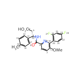 COc1ccc(C(=O)N[C@@H](CC(=O)O)c2ccc(C)cc2)nc1-c1ccc(F)cc1F